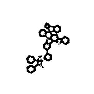 CN1C(c2ccccc2)C(N)(c2ccccc2)[C@@H]1c1cccc(-c2ccc3c(c2)c2c4oc5ccccc5c4cc4c2n3-c2ccccc2C42c3ccccc3-c3ccccc32)c1